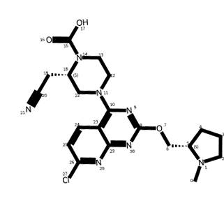 CN1CCC[C@H]1COc1nc(N2CCN(C(=O)O)[C@@H](CC#N)C2)c2ccc(Cl)nc2n1